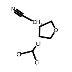 C1CCOC1.CC#N.ClC(Cl)Cl